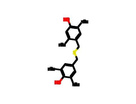 CCCCc1cc(CSCc2cc(CCCC)c(O)c(CCCC)c2)c(CCCC)cc1O